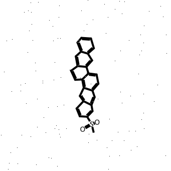 CS(=O)(=O)c1ccc2cc3c(ccc4c5cc6ccccc6cc5ccc34)cc2c1